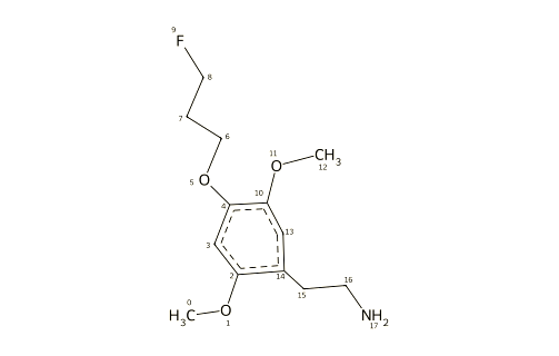 COc1cc(OCCCF)c(OC)cc1CCN